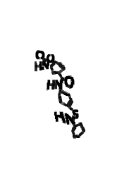 O=C(Nc1ccc(SNc2ccccc2)cc1)c1ccc2oc(=O)[nH]c2c1